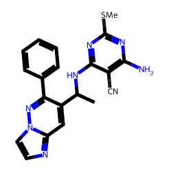 CSc1nc(N)c(C#N)c(NC(C)c2cc3nccn3nc2-c2ccccc2)n1